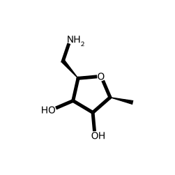 C[C@@H]1O[C@H](CN)C(O)C1O